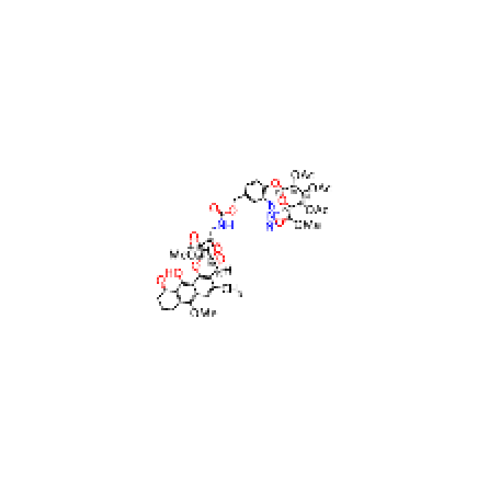 COC(=O)[C@H]1O[C@@H](Oc2ccc(COC(=O)NC[C@]34O[C@@H]5[C@@H](O3)c3c(C)cc6c(OC)c7c(c(O)c6c3O[C@@]5(OC)[C@@]43CO3)C(=O)CCC7)cc2N=[N+]=[N-])[C@H](OC(C)=O)[C@@H](OC(C)=O)[C@@H]1OC(C)=O